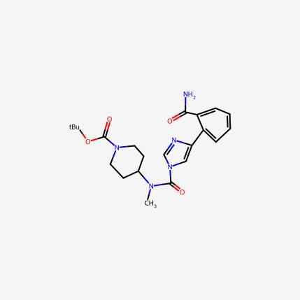 CN(C(=O)n1cnc(-c2ccccc2C(N)=O)c1)C1CCN(C(=O)OC(C)(C)C)CC1